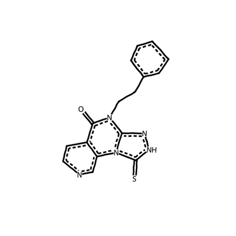 O=c1c2ccncc2n2c(=S)[nH]nc2n1CCc1ccccc1